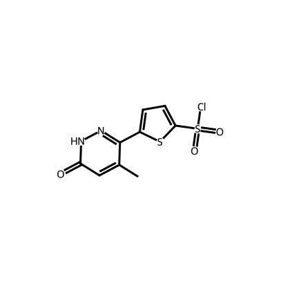 Cc1cc(=O)[nH]nc1-c1ccc(S(=O)(=O)Cl)s1